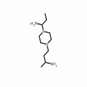 CCC(N)N1CCN(CCC(C)N)CC1